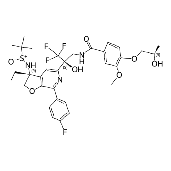 CC[C@]1(N[S+]([O-])C(C)(C)C)COc2c1cc([C@@](O)(CNC(=O)c1ccc(OC[C@@H](C)O)c(OC)c1)C(F)(F)F)nc2-c1ccc(F)cc1